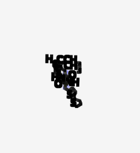 CC(C)(C)c1ocnc1/C=c1\[nH]c(=O)/c(=C/c2ccc(C3CCCS3)s2)[nH]c1=O